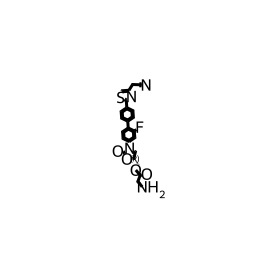 N#CCc1csc(-c2ccc(-c3ccc(N4C[C@H](COC(=O)CN)OC4=O)cc3F)cc2)n1